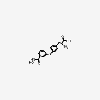 NC(Cc1ccc(Oc2cccc(C(=O)NO)c2)cc1)C(=O)O